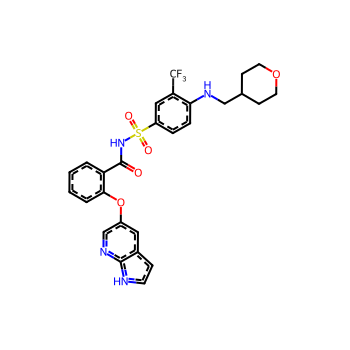 O=C(NS(=O)(=O)c1ccc(NCC2CCOCC2)c(C(F)(F)F)c1)c1ccccc1Oc1cnc2[nH]ccc2c1